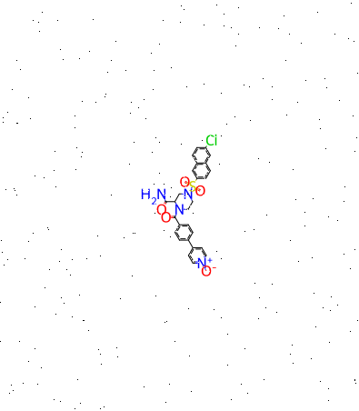 NC(=O)C1CN(S(=O)(=O)c2ccc3cc(Cl)ccc3c2)CCN1C(=O)c1ccc(-c2cc[n+]([O-])cc2)cc1